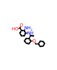 C=C(Nc1cccc(C(=O)O)c1N)c1ccccc1OCc1ccccc1